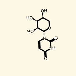 O=c1ccn([C@H]2OC[C@H](O)[C@H](O)[C@@H]2O)c(=O)[nH]1